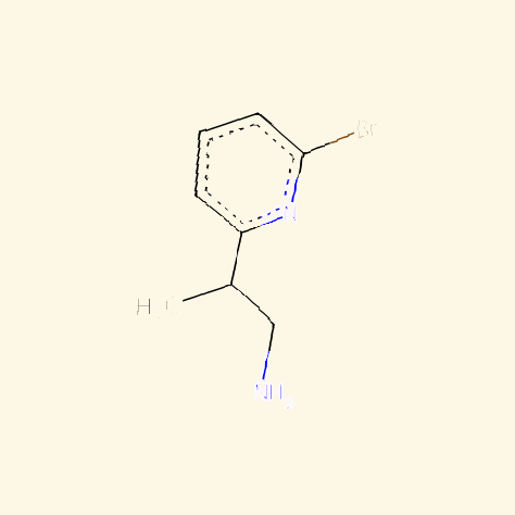 CC(CN)c1cccc(Br)n1